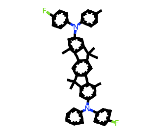 Cc1ccc(N(c2ccc(F)cc2)c2cc(C)c3c(c2)C(C)(C)c2cc4c(cc2-3)C(C)(C)c2cc(N(c3ccccc3)c3ccc(F)cc3)cc(C)c2-4)cc1